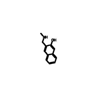 CNCc1cc2ccccc2cc1O